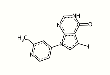 Cc1cc(-n2cc(I)c3c(=O)[nH]cnc32)ccn1